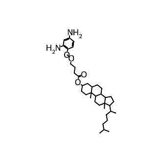 CC(C)CCCC(C)C1CCC2C3CCC4CC(OC(=O)CCCOOc5ccc(N)cc5N)CCC4(C)C3CCC12C